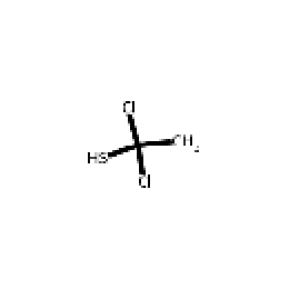 CC(S)(Cl)Cl